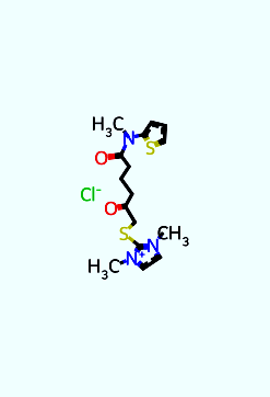 CN(C(=O)CCCC(=O)CSc1n(C)cc[n+]1C)c1cccs1.[Cl-]